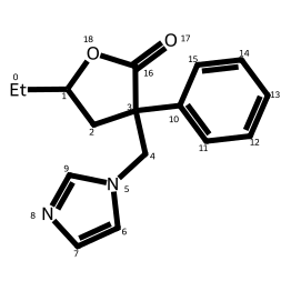 CCC1CC(Cn2ccnc2)(c2ccccc2)C(=O)O1